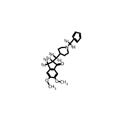 [2H]C([2H])(c1ccccc1)N1CCC(C([2H])([2H])C2([2H])C(=O)c3cc(OC)c(OC)cc3C2([2H])[2H])CC1